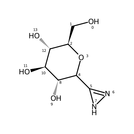 OC[C@H]1OC(C2=NN2)[C@H](O)[C@@H](O)[C@@H]1O